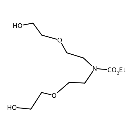 [CH2]COC(=O)N(CCOCCO)CCOCCO